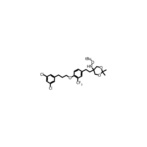 CC(C)(C)ONC1(CCc2ccc(OCCCc3cc(Cl)cc(Cl)c3)c(C(F)(F)F)c2)COC(C)(C)OC1